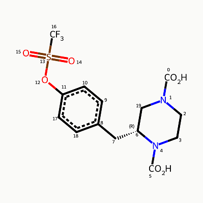 O=C(O)N1CCN(C(=O)O)[C@H](Cc2ccc(OS(=O)(=O)C(F)(F)F)cc2)C1